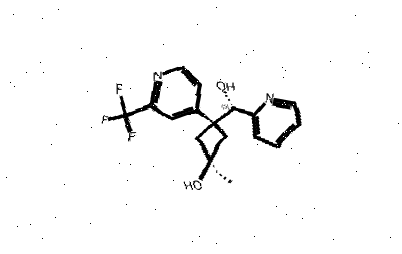 C[C@]1(O)C[C@](c2ccnc(C(F)(F)F)c2)([C@H](O)c2ccccn2)C1